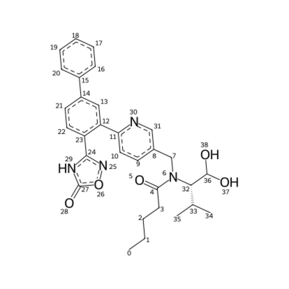 CCCCC(=O)N(Cc1ccc(-c2cc(-c3ccccc3)ccc2-c2noc(=O)[nH]2)nc1)[C@@H](C(C)C)C(O)O